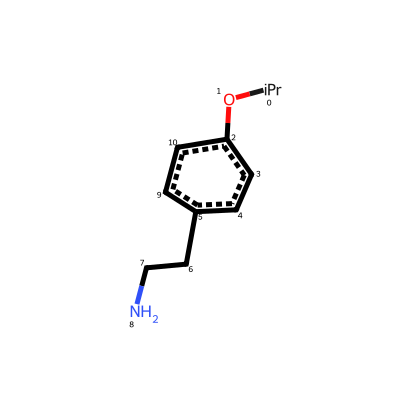 CC(C)Oc1ccc(CCN)cc1